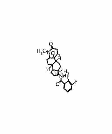 CN1C(=O)CC[C@@]2(C)C1CC[C@@H]1[C@H]2CC[C@]2(C)C(NC(=O)c3cccc(F)c3F)CC[C@@H]12